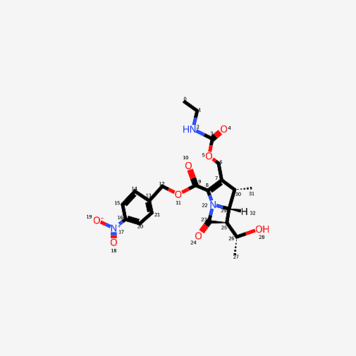 CCNC(=O)OCC1=C(C(=O)OCc2ccc([N+](=O)[O-])cc2)N2C(=O)[C@H]([C@@H](C)O)[C@H]2[C@H]1C